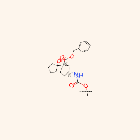 CC(C)(C)OC(=O)N[C@@H]1CC[C@@](C(=O)OCc2ccccc2)(C2(O)CCCC2)C1